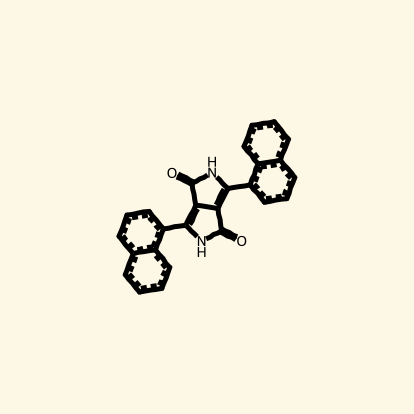 O=C1NC(c2cccc3ccccc23)=C2C(=O)NC(c3cccc4ccccc34)=C12